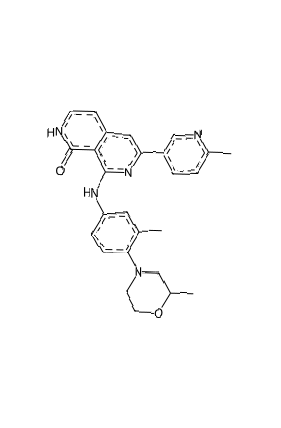 Cc1ccc(-c2cc3cc[nH]c(=O)c3c(Nc3ccc(N4CCOC(C)C4)c(C)c3)n2)cn1